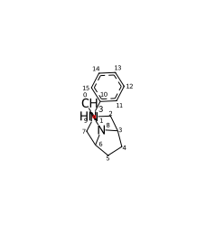 CN1CC2CCC(C1)N2Nc1ccccc1